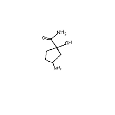 NC(=O)C1(O)CCC(N)C1